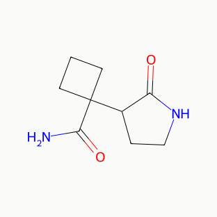 NC(=O)C1(C2CCNC2=O)CCC1